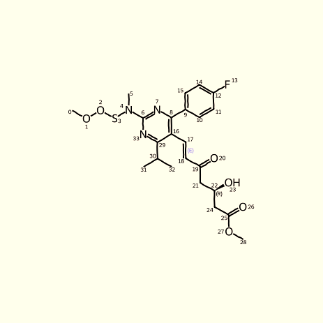 COOSN(C)c1nc(-c2ccc(F)cc2)c(/C=C/C(=O)C[C@@H](O)CC(=O)OC)c(C(C)C)n1